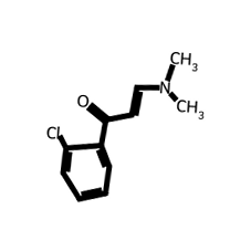 CN(C)C=CC(=O)c1ccccc1Cl